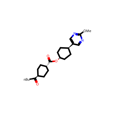 CCCCC(=O)[C@H]1CC[C@H](C(=O)O[C@H]2CC[C@H](c3cnc(OC)nc3)CC2)CC1